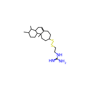 CC1CCC2C(CC=C3CCC(SSCCNC(=N)N)CCC32C)C1C